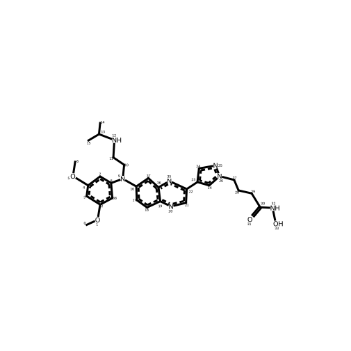 COc1cc(OC)cc(N(CCNC(C)C)c2ccc3ncc(-c4cnn(CCCC(=O)NO)c4)nc3c2)c1